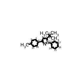 Cc1ccc(-c2cc(C(C)(C)C)n(-c3ccccc3)n2)cc1